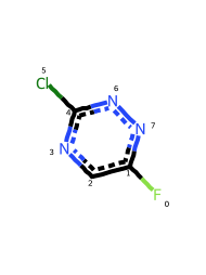 Fc1[c]nc(Cl)nn1